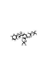 CC(C)(C)OC(=O)C[C@@H](/C=C/S(=O)(=O)OC1=CC=CCC1)NC(=O)OC(C)(C)C